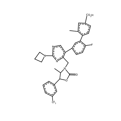 Cc1cc(C(=O)O)ccc1-c1cc(-c2cnc(N3CCC3)nc2CN2C(=O)OC(c3cccc(C(F)(F)F)c3)C2C)ccc1F